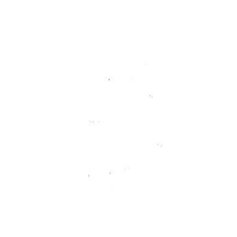 COc1cc(C(=O)N2CCC(=O)C[C@H]2CO[Si](C)(C)C(C)(C)C)c([N+](=O)[O-])cc1O[Si](C(C)C)(C(C)C)C(C)C